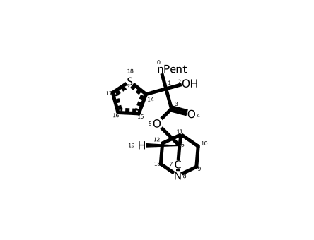 CCCCCC(O)(C(=O)O[C@H]1CN2CCC1CC2)c1cccs1